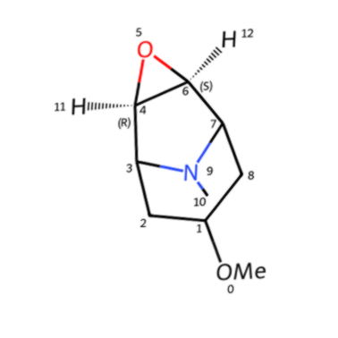 COC1CC2[C@H]3O[C@H]3C(C1)N2C